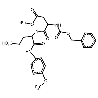 CC(C)(C)OC(=O)CC(NC(=O)OCc1ccccc1)C(=O)NC(CCC(=O)O)C(=O)Nc1ccc(OC(F)(F)F)cc1